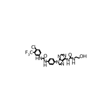 O=C(Nc1ccc(-n2cnc3c(NC(=O)NCCO)ncnc32)cc1)Nc1ccc(Cl)c(C(F)(F)F)c1